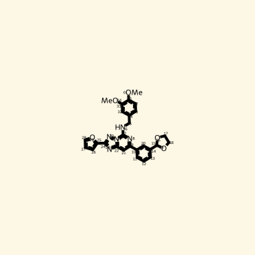 COc1ccc(CNc2nc(-c3cccc(C4OCCO4)c3)cc3nc(-c4ccco4)nn23)cc1OC